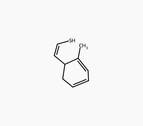 CC1=CC=CCC1/C=C\S